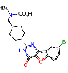 CC(C)(C)N(C[C@H]1CC[C@H](c2nc3c(oc4ccc(Br)cc43)c(=O)[nH]2)CC1)C(=O)O